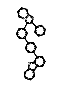 c1ccc(-c2nc3ccccn3c2-c2cccc(-c3ccc(-c4cccc5c4sc4ccccc45)cc3)c2)cc1